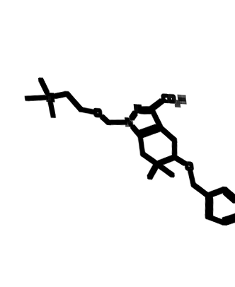 CC1(C)Cc2c(c(C(=O)O)nn2COCC[Si](C)(C)C)CC1OCc1ccccc1